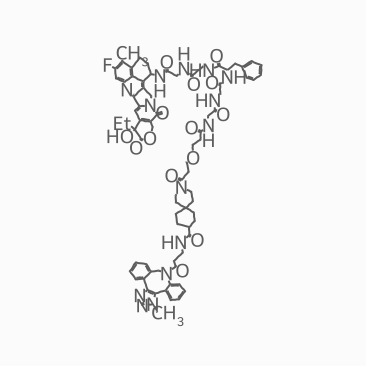 CCC1(O)C(=O)OCc2c1cc1n(c2=O)Cc2c-1nc1cc(F)c(C)c3c1c2C(NC(=O)CNC(=O)CNC(=O)C(Cc1ccccc1)NC(=O)CNC(=O)CNC(=O)CCOCCC(=O)N1CCC2(CCC(C(=O)NCCC(=O)N4Cc5ccccc5-c5nnn(C)c5-c5ccccc54)CC2)CC1)CC3